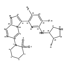 O=S1(=O)CCCCN1c1cn2c(-c3nc(NC4CNCC4F)c(F)cc3F)cnc2cn1